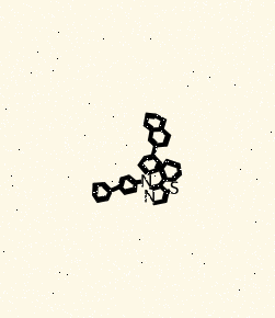 c1ccc(-c2ccc(N(c3ccc(-c4ccc5ccccc5c4)cc3)c3nccc4sc5ccccc5c34)cc2)cc1